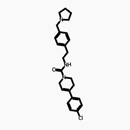 O=C(NCCc1ccc(CN2CCCC2)cc1)N1CC=C(c2ccc(Cl)cc2)CC1